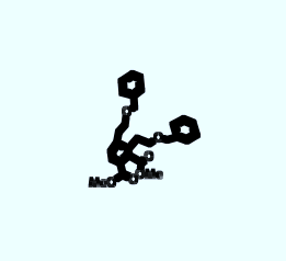 COC(=O)c1ccc(CCOCc2ccccc2)c(CCOCc2ccccc2)c1C(=O)OC